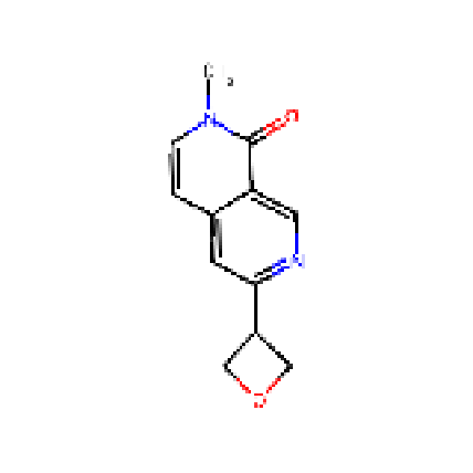 Cn1ccc2cc(C3COC3)ncc2c1=O